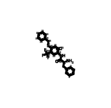 Cl.N[C@@H](Cc1ccccc1)C(=O)Nc1ccc(SCc2ccccc2)c(C(F)(F)F)c1